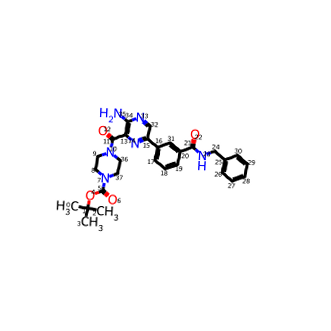 CC(C)(C)OC(=O)N1CCN(C(=O)c2nc(-c3cccc(C(=O)NCc4ccccc4)c3)cnc2N)CC1